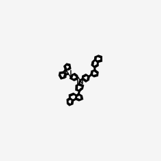 c1cc(-c2ccc(N(c3ccc(-c4cccc5c4ccc4ccccc45)cc3)c3ccc(-n4c5ccccc5c5ccccc54)cc3)cc2)cc(-c2ccc3ccccc3c2)c1